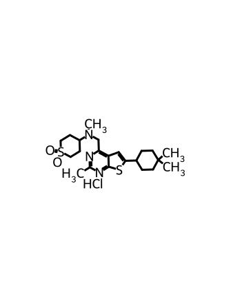 Cc1nc(CN(C)C2CCS(=O)(=O)CC2)c2cc(C3CCC(C)(C)CC3)sc2n1.Cl